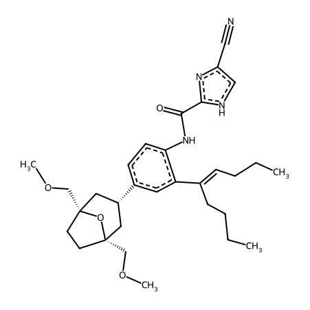 CCC/C=C(\CCCC)c1cc([C@@H]2C[C@@]3(COC)CC[C@@](COC)(C2)O3)ccc1NC(=O)c1nc(C#N)c[nH]1